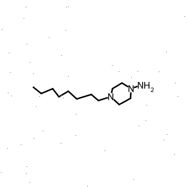 CCCCCCCCN1CCN(N)CC1